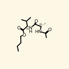 CCCCOC(=O)[C@@H](NC(=O)[C@H](C)NC(C)=O)C(C)C